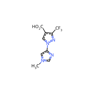 Cn1cnc(-n2cc(C(=O)O)c(C(F)(F)F)n2)c1